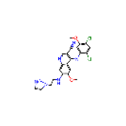 COc1cc(Nc2c(C#N)cnc3cc(NCCn4ccnn4)c(OC)cc23)c(Cl)cc1Cl